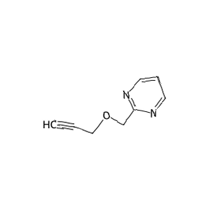 C#CCOCc1ncccn1